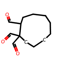 O=CC1CCCCCCCCC1(C=O)C=O